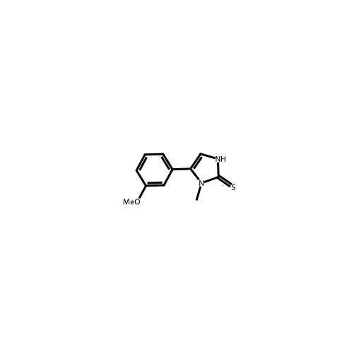 COc1cccc(-c2c[nH]c(=S)n2C)c1